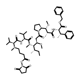 CC[C@H](C)[C@@H]([C@@H](CC(=O)N1CCC[C@H]1[C@H](OC)[C@@H](C)C(=O)N[C@H](C(=O)OCc1ccccc1)[C@@H](C)c1ccccc1)OC)N(C)C(=O)[C@@H](NC(=O)[C@H](C(C)C)N(C)CCCC(=O)ON1C(=O)CCC1=O)C(C)C